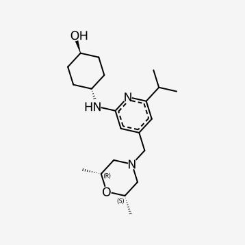 CC(C)c1cc(CN2C[C@@H](C)O[C@@H](C)C2)cc(N[C@H]2CC[C@H](O)CC2)n1